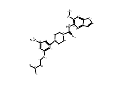 CCOc1nc2occc2nc1NC(=O)N1CCN(c2cc(OC)cc(OCCN(C)C)c2)CC1